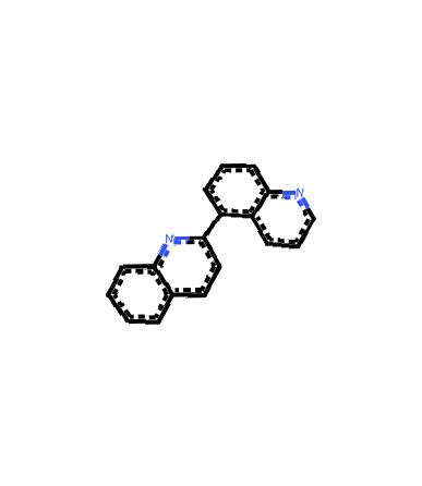 c1ccc2nc(-c3cccc4ncccc34)ccc2c1